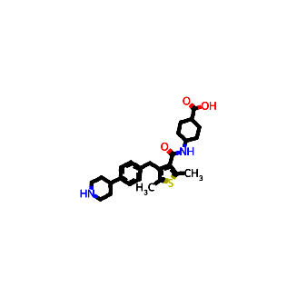 Cc1sc(C)c(C(=O)NC2CCC(C(=O)O)CC2)c1Cc1ccc(C2CCNCC2)cc1